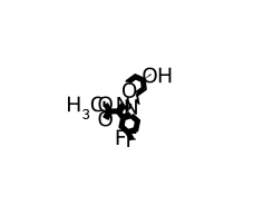 COC(=O)c1nn(C[C@@H]2C[C@@H](O)CCO2)c2c1CC(F)(F)CC2